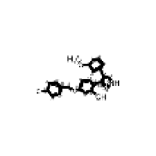 COc1cccc(-c2c[nH]nc2-c2ccc(OCc3ccc(Cl)cc3)cc2O)c1